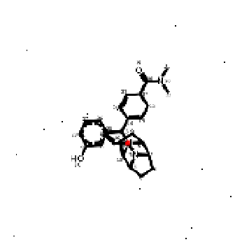 C=CCN1C2CCC1C1CCC2N1C(C1=CCC(C(=O)N(C)C)C=C1)c1cccc(O)c1